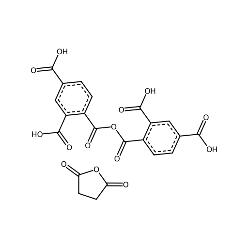 O=C(O)c1ccc(C(=O)OC(=O)c2ccc(C(=O)O)cc2C(=O)O)c(C(=O)O)c1.O=C1CCC(=O)O1